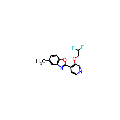 Cc1ccc2oc(-c3ccncc3OCC(F)F)nc2c1